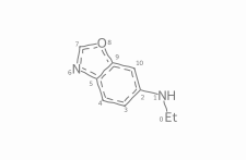 CCNc1ccc2ncoc2c1